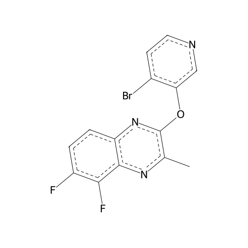 Cc1nc2c(F)c(F)ccc2nc1Oc1cnccc1Br